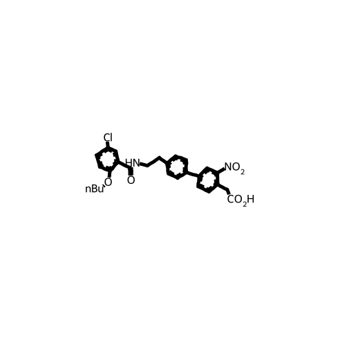 CCCCOc1ccc(Cl)cc1C(=O)NCCc1ccc(-c2ccc(CC(=O)O)c([N+](=O)[O-])c2)cc1